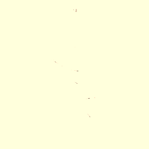 CC#CC[C@H](C)[C@H](O)/C=C/[C@@H]1[C@H]2c3cccc(CCC(N)=O)c3O[C@H]2C[C@H]1O